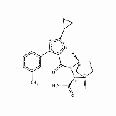 Cc1cccc(-c2sc(C3CC3)nc2C(=O)N2[C@@H]3CC[C@@H](C3)[C@H]2C(N)=O)c1